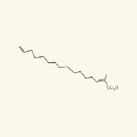 C=CCCCCCCCCCCCC=C(C)C(=O)O